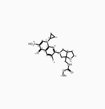 CC(C)(C)OC(=O)NCC12CN(c3nc4c(cc3F)c(=O)c(C(=O)O)cn4C3CC3)CC1CCO2